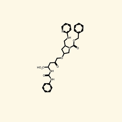 O=C(COC1CC(CNc2ccccn2)N(C(=O)OCc2ccccc2)C1)CC(NC(=O)Nc1ccccc1)C(=O)O